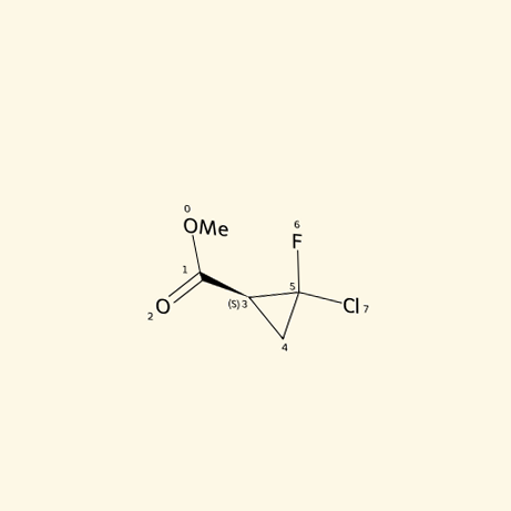 COC(=O)[C@@H]1CC1(F)Cl